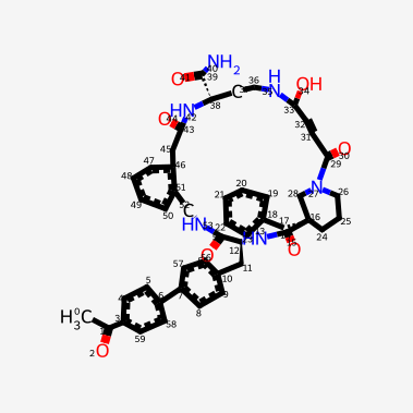 CC(=O)c1ccc(-c2ccc(C[C@@H]3NC(=O)[C@]4(Cc5ccccc5)CCCN(C4)C(=O)/C=C/C(O)NCC[C@@H](C(N)=O)NC(=O)Cc4ccccc4CNC3=O)cc2)cc1